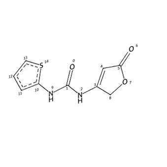 O=C(NC1=CC(=O)OC1)Nc1cccs1